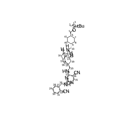 CC(C)(C)[Si](C)(C)OC[C@H]1CC[C@H](CN[C@H]2[C@@H]3CC4C[C@H]2C[C@@](CNc2nc(NCc5ccccc5C#N)ncc2C#N)(C4)C3)CC1